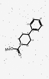 COC(=O)N1CCC(c2c[c]ccc2)CC1